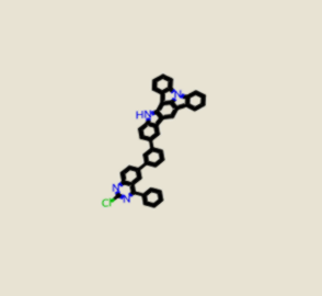 Clc1nc(-c2ccccc2)c2cc(-c3cccc(-c4ccc5[nH]c6c(cc7c8ccccc8n8c9ccccc9c6c78)c5c4)c3)ccc2n1